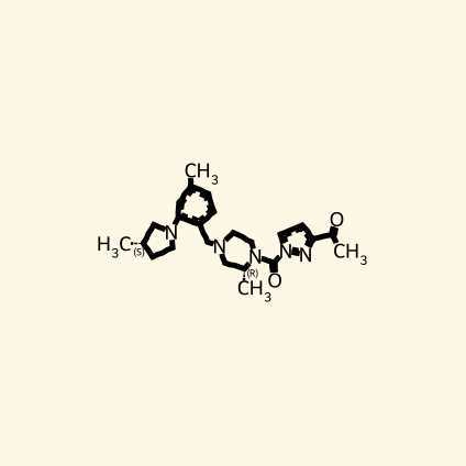 CC(=O)c1ccn(C(=O)N2CCN(Cc3ccc(C)cc3N3CC[C@H](C)C3)C[C@H]2C)n1